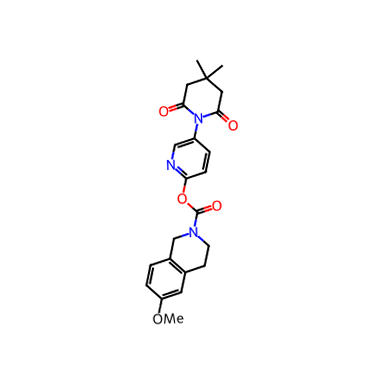 COc1ccc2c(c1)CCN(C(=O)Oc1ccc(N3C(=O)CC(C)(C)CC3=O)cn1)C2